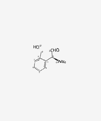 CN[C@H](C=O)c1ccccc1C.Cl